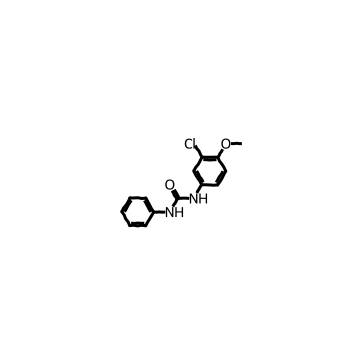 COc1ccc(NC(=O)Nc2ccccc2)cc1Cl